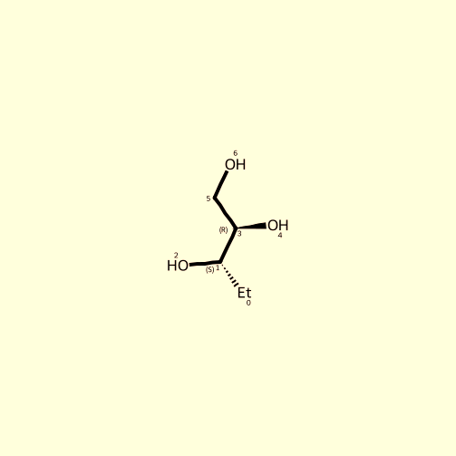 [CH2]C[C@H](O)[C@H](O)CO